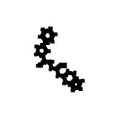 O=C(OCC(O)CN1CCc2sccc2C1)N1CCC(c2ccccc2)C1